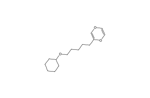 C1=COC(CCCCCOC2CCCCC2)=CO1